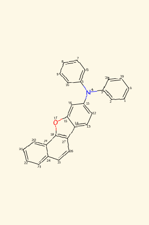 c1ccc(N(c2ccccc2)c2ccc3c(c2)oc2c4ccccc4ccc32)cc1